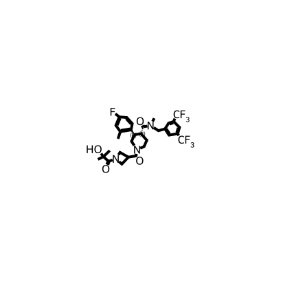 Cc1cc(F)ccc1[C@@H]1CN(C(=O)C2CN(C(=O)C(C)(C)O)C2)CC[C@H]1C(=O)N(C)Cc1cc(C(F)(F)F)cc(C(F)(F)F)c1